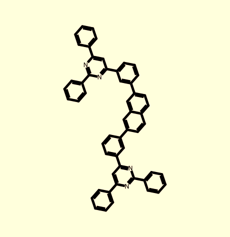 c1ccc(-c2cc(-c3cccc(-c4ccc5ccc(-c6cccc(-c7cc(-c8ccccc8)nc(-c8ccccc8)n7)c6)cc5c4)c3)nc(-c3ccccc3)n2)cc1